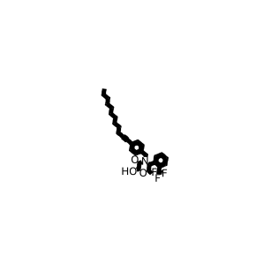 CCCCCCCCCCC#Cc1ccc(CN(C(=O)C(=O)O)C(CC)c2ccccc2C(F)(F)F)cc1